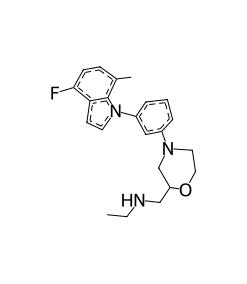 CCNCC1CN(c2cccc(-n3ccc4c(F)ccc(C)c43)c2)CCO1